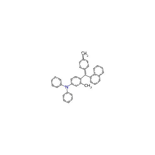 C=c1ccc(=C(c2ccc(N(c3ccccc3)c3ccccc3)cc2C)c2cccc3ccccc23)cc1